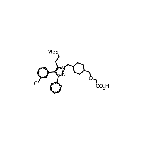 CSCCc1c(-c2cccc(Cl)c2)c(-c2ccccc2)nn1CC1CCC(COCC(=O)O)CC1